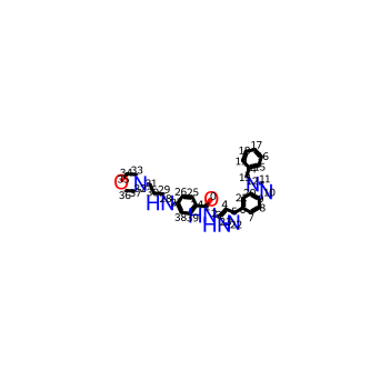 O=C(Nc1cc(-c2ccc3ncn(Cc4ccccc4)c3c2)n[nH]1)c1ccc(NCCCN2CCOCC2)cc1